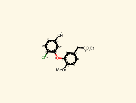 CCOC(=O)Cc1ccc(OC)c(Oc2cc(C#N)ccc2Cl)c1